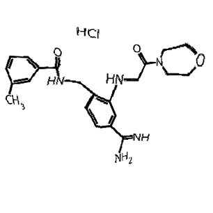 Cc1cccc(C(=O)NCc2ccc(C(=N)N)cc2NCC(=O)N2CCOCC2)c1.Cl